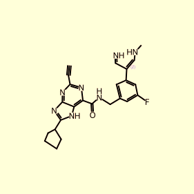 C#Cc1nc(C(=O)NCc2cc(F)cc(/C(C=N)=C/NC)c2)c2[nH]c(C3CCCC3)nc2n1